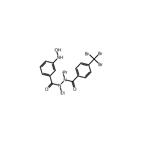 CCN(C(=O)c1cccc(NO)c1)N(C(=O)c1ccc(C(Br)(Br)Br)cc1)C(C)C